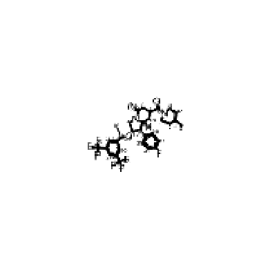 CC1CCN(C(=O)C2CC(=O)N3C[C@H](O[C@H](C)c4cc(C(F)(F)F)cc(C(F)(F)F)c4)[C@@H](c4ccc(F)cc4)[C@@H]3C2)CC1